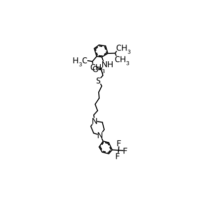 CC(C)c1cccc(C(C)C)c1NC(=O)CSCCCCCCN1CCN(c2cccc(C(F)(F)F)c2)CC1